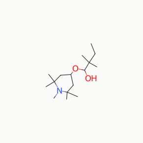 CCC(C)(C)C(O)OC1CC(C)(C)N(C)C(C)(C)C1